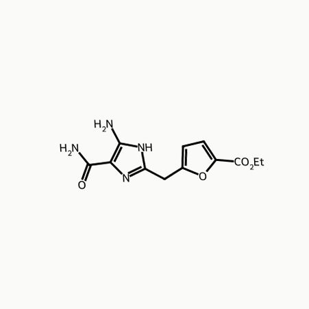 CCOC(=O)c1ccc(Cc2nc(C(N)=O)c(N)[nH]2)o1